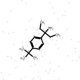 CCC(N)(CC)c1ccc(C(C)(C)C)cc1